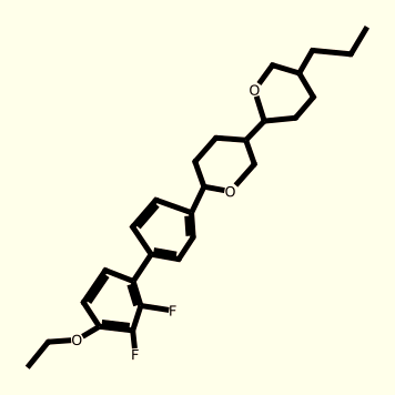 CCCC1CCC(C2CCC(c3ccc(-c4ccc(OCC)c(F)c4F)cc3)OC2)OC1